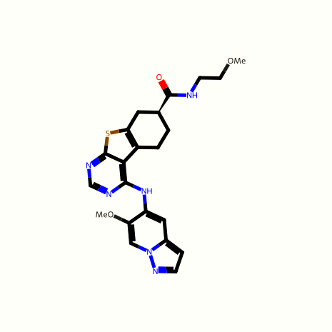 COCCNC(=O)[C@H]1CCc2c(sc3ncnc(Nc4cc5ccnn5cc4OC)c23)C1